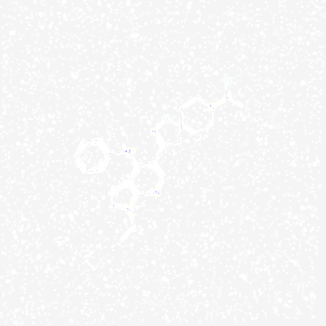 CCn1ncc2c(Nc3ccccc3)c(C3=NOC4(CCN(C(C)=O)CC4)C3)cnc21